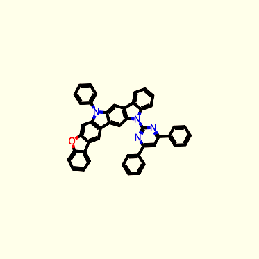 c1ccc(-c2cc(-c3ccccc3)nc(-n3c4ccccc4c4cc5c(cc43)c3cc4c(cc3n5-c3ccccc3)oc3ccccc34)n2)cc1